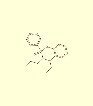 CCCC1C(CC)c2ccccc2OP1(=O)c1ccccc1